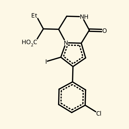 CCC(C(=O)O)C1CNC(=O)c2cc(-c3cccc(Cl)c3)c(I)n21